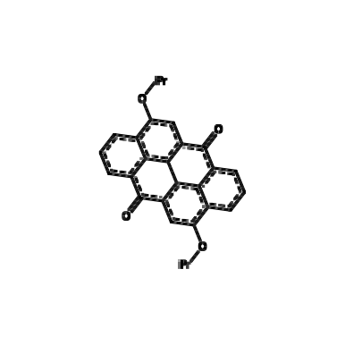 CC(C)Oc1cc2c3c4c1cccc4c(=O)c1cc(OC(C)C)c4cccc(c2=O)c4c1-3